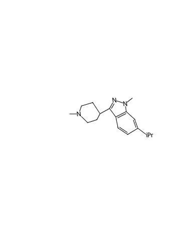 CC(C)c1ccc2c(C3CCN(C)CC3)nn(C)c2c1